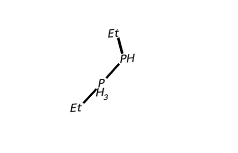 CCP[PH3]CC